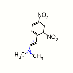 CN(C)/C=C/C1=CC=C([N+](=O)[O-])CC1[N+](=O)[O-]